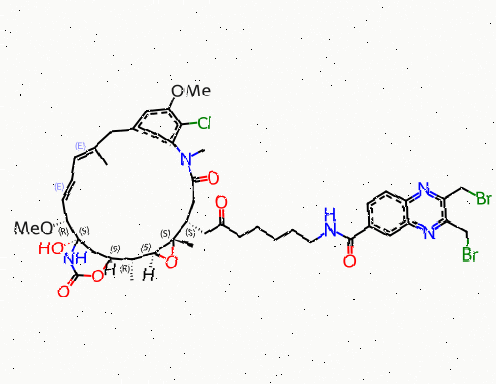 COc1cc2cc(c1Cl)N(C)C(=O)C[C@H](CC(=O)CCCCCNC(=O)c1ccc3nc(CBr)c(CBr)nc3c1)[C@]1(C)O[C@H]1[C@H](C)[C@@H]1C[C@@](O)(NC(=O)O1)[C@H](OC)/C=C/C=C(\C)C2